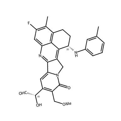 COCc1c([C@H](O)C=O)cc2n(c1=O)Cc1c-2nc2cc(F)c(C)c3c2c1[C@@H](Nc1cccc(C)c1)CC3